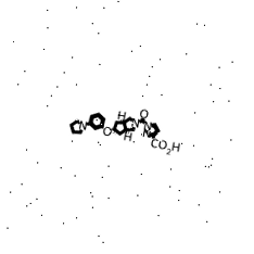 O=C(O)c1ccn(C(=O)N2C[C@H]3C[C@H](Oc4cccc(N5CCCC5)c4)C[C@H]3C2)n1